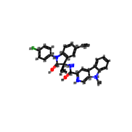 CCn1c2ccccc2c2cc(C(=O)N[C@]3(C)C(=O)N(c4ccc(F)cc4)c4ccc(OC)cc43)ncc21